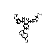 CC(C)(O)[C@H](F)CNC(=O)c1cnc(-c2cnn3cc(Cl)cnc23)cc1Nc1cnn(CC(F)(F)F)c1